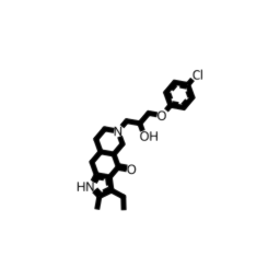 CCc1c(C)[nH]c2c1C(=O)C1CN(CC(O)COc3ccc(Cl)cc3)CCC1C2